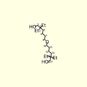 CCC(CC)(CO)CCCCOCCCCC(CC)(CC)CO